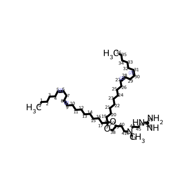 CCCCC/C=C\C/C=C\CCCCCCCCC1(CCCCCCCC/C=C\C/C=C\CCCCC)OCC(CCN(C)CCNC(=N)N)O1